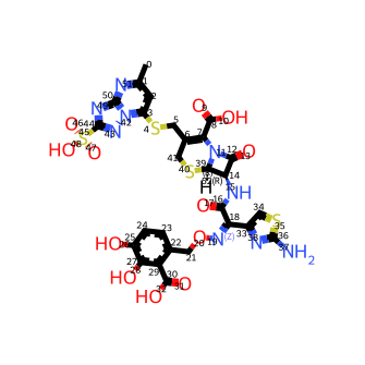 Cc1cc(SCC2=C(C(=O)O)N3C(=O)[C@@H](NC(=O)/C(=N\OCc4ccc(O)c(O)c4C(=O)O)c4csc(N)n4)[C@H]3SC2)n2nc(S(=O)(=O)O)nc2n1